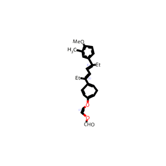 CC/C(=C\C=C(/CC)c1ccc(OC)c(C)c1)C1=CCC=C(O/C=C\OC=O)C=C1